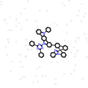 c1ccc(-c2nc(-c3ccccc3)nc(-n3c4ccc(-c5ccc6c(c5)C5(c7ccccc7-6)c6ccccc6-n6c5nc5ccccc56)cc4c4cc5c(cc43)c3ccccc3n5-c3ccccc3)n2)cc1